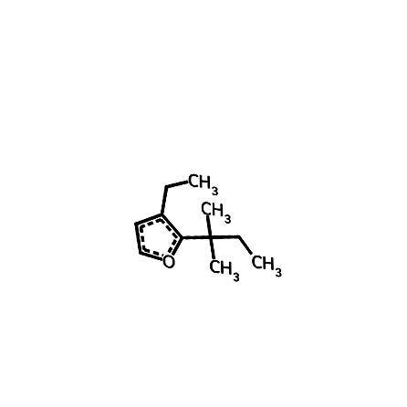 CCc1ccoc1C(C)(C)CC